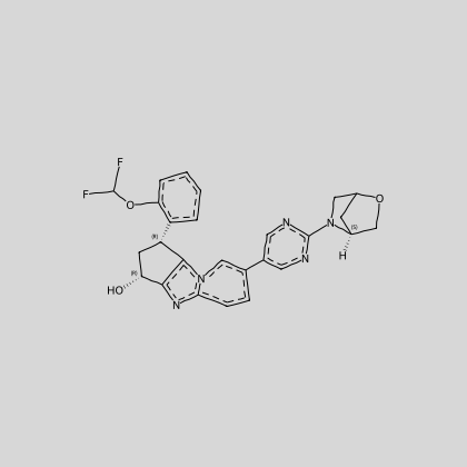 O[C@@H]1C[C@H](c2ccccc2OC(F)F)c2c1nc1ccc(-c3cnc(N4CC5C[C@H]4CO5)nc3)cn21